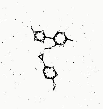 COc1ccc([C@H]2C[C@@H]2COc2nc(C)ncc2-c2nnn(C)n2)nc1